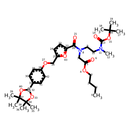 CCCCOC(=O)CN(CCN(C)C(=O)OC(C)(C)C)C(=O)c1ccc(COc2ccc(B3OC(C)(C)C(C)(C)O3)cc2)o1